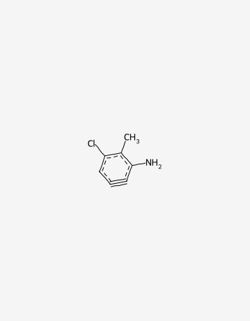 Cc1c(N)c#ccc1Cl